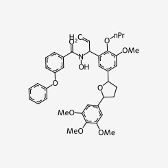 C=CC(c1cc(C2CCC(c3cc(OC)c(OC)c(OC)c3)O2)cc(OC)c1OCCC)N(O)C(=O)c1cccc(Oc2ccccc2)c1